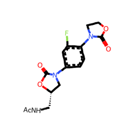 CC(=O)NC[C@H]1CN(c2ccc(N3CCOC3=O)c(F)c2)C(=O)O1